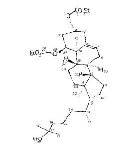 CCOC(=O)O[C@@H]1CC2=CC[C@H]3[C@@H]4CC[C@H]([C@H](C)CCCC(C)(C)O)[C@@]4(C)CC[C@@H]3[C@@]2(C)[C@@H](OC(=O)OCC)C1